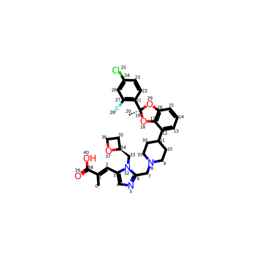 C/C(=C\c1cnc(CN2CCC(c3cccc4c3O[C@@](C)(c3ccc(Cl)cc3F)O4)CC2)n1C[C@@H]1CCO1)C(=O)O